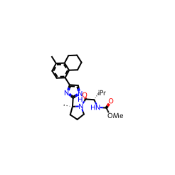 COC(=O)N[C@H](C(=O)N1CCC[C@@]1(C)c1nc(-c2ccc(C)c3c2CCCC3)c[nH]1)C(C)C